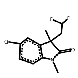 CN1C(=O)C(C)(CC(F)F)c2cc(Cl)ccc21